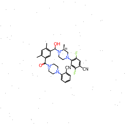 Cc1cc(C)c(C(O)N2CCN(c3cc(F)c(C#N)cc3F)C[C@@H]2C)cc1C(=O)N1CCN(c2ccccc2C#N)CC1